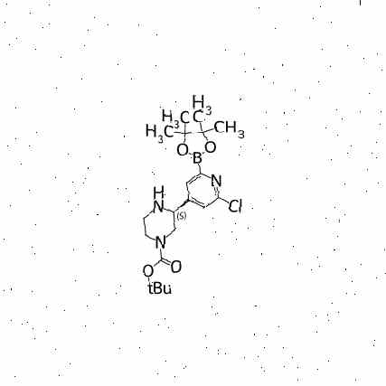 CC(C)(C)OC(=O)N1CCN[C@@H](c2cc(Cl)nc(B3OC(C)(C)C(C)(C)O3)c2)C1